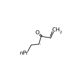 C=CC(=O)[CH]CCCC